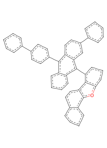 c1ccc(-c2ccc(-c3c4ccccc4c(-c4cccc5oc6c7ccccc7ccc6c45)c4cc(-c5ccccc5)ccc34)cc2)cc1